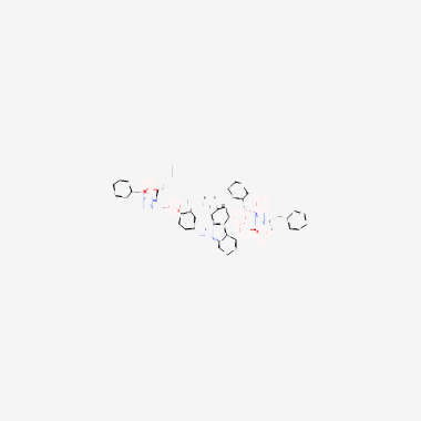 COc1cc(Cn2c3ccccc3c3c(OC(C(=O)N4C(=O)OCC4Cc4ccccc4)c4ccccc4)cccc32)ccc1OCc1nc(-c2ccccc2)oc1C